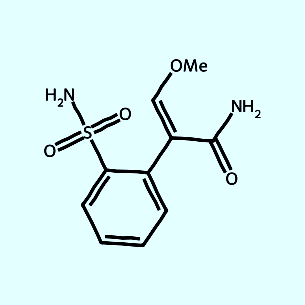 COC=C(C(N)=O)c1ccccc1S(N)(=O)=O